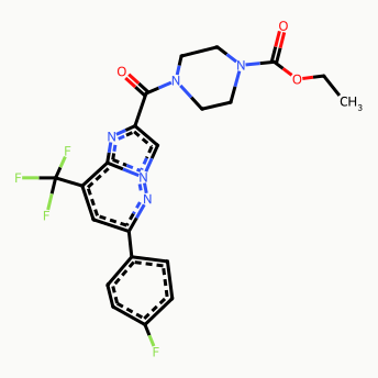 CCOC(=O)N1CCN(C(=O)c2cn3nc(-c4ccc(F)cc4)cc(C(F)(F)F)c3n2)CC1